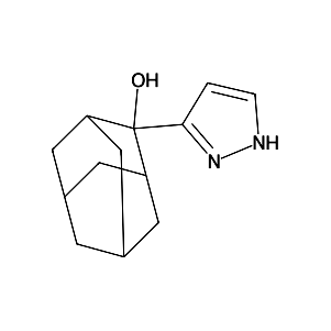 OC1(c2cc[nH]n2)C2CC3CC(C2)CC1C3